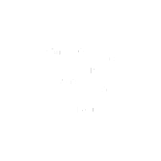 CCCCOP(=O)(OC(C)=O)OC(C)CCC